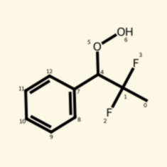 CC(F)(F)C(OO)c1ccccc1